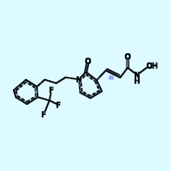 O=C(/C=C/c1cccn(CCCc2ccccc2C(F)(F)F)c1=O)NO